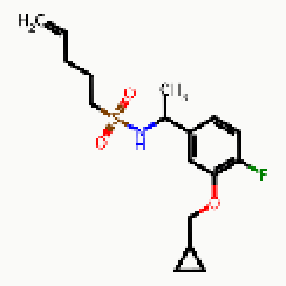 C=CCCCS(=O)(=O)NC(C)c1ccc(F)c(OCC2CC2)c1